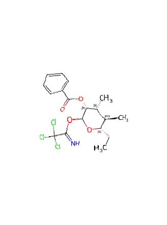 CC[C@@H]1OC(OC(=N)C(Cl)(Cl)Cl)[C@H](OC(=O)c2ccccc2)[C@H](C)[C@H]1C